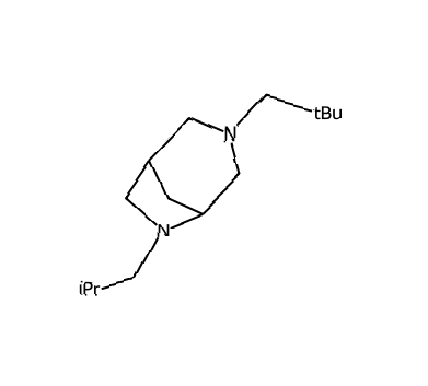 CC(C)CN1CC2CC1CN(CC(C)(C)C)C2